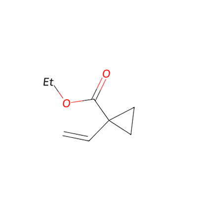 C=CC1(C(=O)OCC)CC1